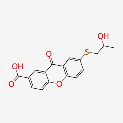 CC(O)CSc1ccc2oc3ccc(C(=O)O)cc3c(=O)c2c1